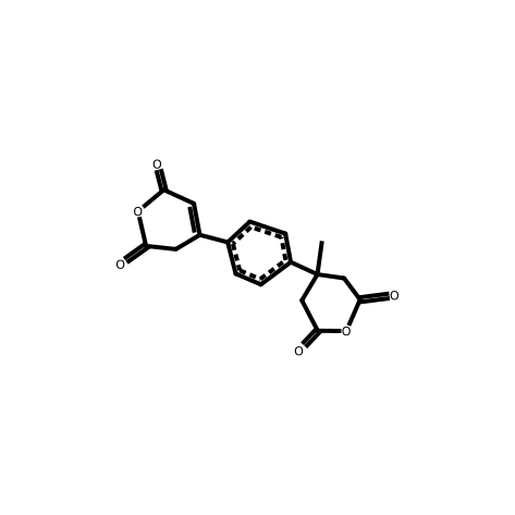 CC1(c2ccc(C3=CC(=O)OC(=O)C3)cc2)CC(=O)OC(=O)C1